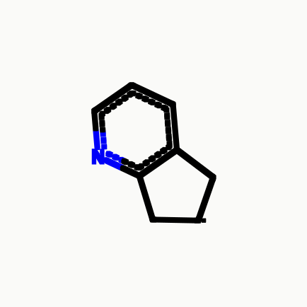 [CH]1Cc2cccnc2C1